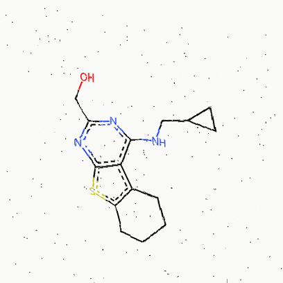 OCc1nc(NCC2CC2)c2c3c(sc2n1)CCCC3